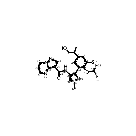 CC(CO)c1cc(S)c(OC(F)F)c(-c2nn(C)cc2NC(=O)c2cnn3cccnc23)c1